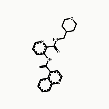 O=C(NCC1CCOCC1)c1ncccc1NC(=O)c1ccnc2ccccc12